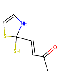 CC(=O)/C=C/C1(S)NC=CS1